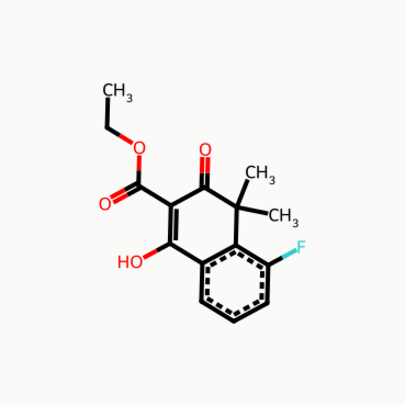 CCOC(=O)C1=C(O)c2cccc(F)c2C(C)(C)C1=O